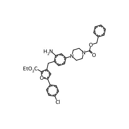 CCOC(=O)c1oc(-c2ccc(Cl)cc2)cc1Cc1ccc(N2CCN(C(=O)OCc3ccccc3)CC2)cc1N